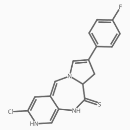 Fc1ccc(C2=CN3C=C4C=C(Cl)NC=C4NC(=S)C3C2)cc1